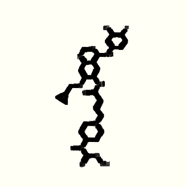 CN(C(=O)OC(C)(C)C)C1CCN(CC=CC(=O)Nc2cc3c(Nc4ccc(F)c(Cl)c4)ncnc3cc2OCC2CC2)CC1